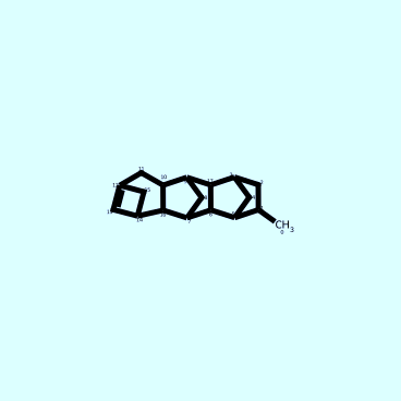 CC1CC2CC1C1C3CC(C4CC5=CC(C5)C43)C21